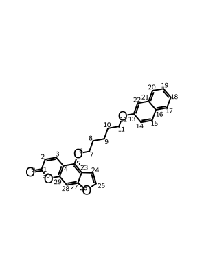 O=c1ccc2c(OCCCCCOc3ccc4ccccc4c3)c3ccoc3cc2o1